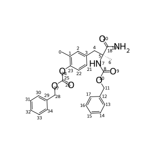 Cc1cc(C[C@](C)(NC(=O)OCc2ccccc2)C(N)=O)ccc1OC(=O)OCc1ccccc1